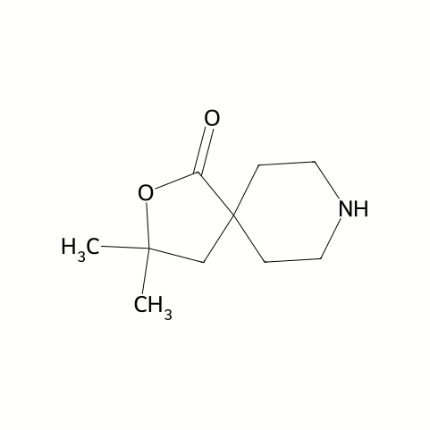 CC1(C)CC2(CCNCC2)C(=O)O1